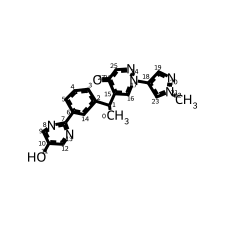 CC(c1cccc(-c2ncc(O)cn2)c1)c1cn(-c2cnn(C)c2)ncc1=O